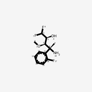 CO[C@@H]([C@H](O)C(F)F)[C@](C)(N)c1ccccc1F